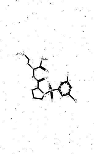 COC(=O)[C@H](CCC(=O)O)NC(=O)C1CCCN1S(=O)(=O)c1cc(Cl)cc(Cl)c1